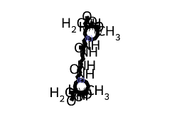 C=C1C(=O)O[C@H]2[C@H]1CC/C(CNC(=O)NCCCNC(=O)NC/C1=C/CC[C@@]3(C)O[C@H]3[C@H]3OC(=O)C(=C)[C@@H]3CC1)=C\CC[C@@]1(C)O[C@@H]21